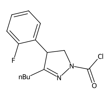 CCCCC1=NN(C(=O)Cl)CC1c1ccccc1F